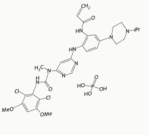 C=CC(=O)Nc1cc(N2CCN(C(C)C)CC2)ccc1Nc1cc(N(C)C(=O)Nc2c(Cl)c(OC)cc(OC)c2Cl)ncn1.O=P(O)(O)O